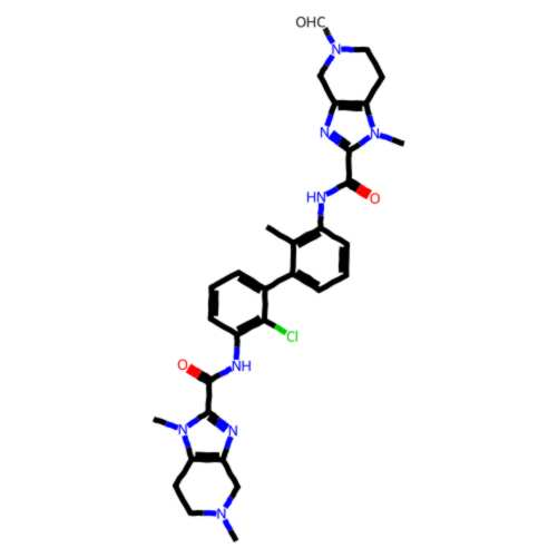 Cc1c(NC(=O)c2nc3c(n2C)CCN(C=O)C3)cccc1-c1cccc(NC(=O)c2nc3c(n2C)CCN(C)C3)c1Cl